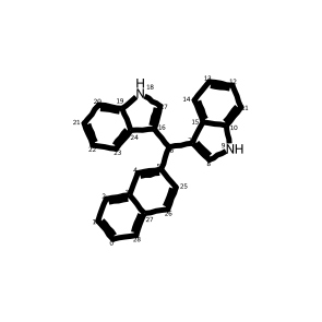 c1ccc2cc(C(c3c[nH]c4ccccc34)c3c[nH]c4ccccc34)ccc2c1